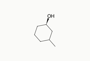 CC1CCC[C@@H](O)C1